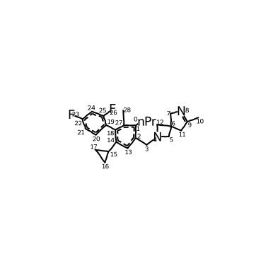 CCCc1c(CN2CC3(CN=C(C)C3)C2)cc(C2CC2)c(-c2ccc(F)cc2F)c1C